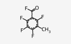 Cc1c(F)c(F)c(F)c(C(=O)F)c1F